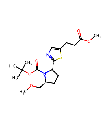 COC[C@@H]1CC[C@@H](c2ncc(CCC(=O)OC)s2)N1C(=O)OC(C)(C)C